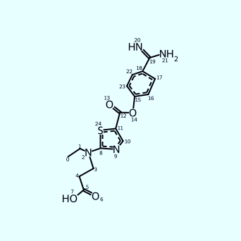 CCN(CCC(=O)O)c1ncc(C(=O)Oc2ccc(C(=N)N)cc2)s1